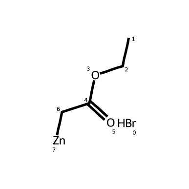 Br.CCOC(=O)[CH2][Zn]